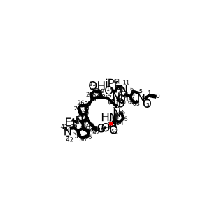 C=CC(=O)N1CCC(C(=O)N(C)[C@H](C(=O)N[C@H]2Cc3cc(O)cc(c3)-c3ccc4c(c3)c(c(-c3ccccc3CN(C)C)n4CC)CC(C)(C)COC(=O)[C@@H]3CCCN(N3)C2=O)C(C)C)CC1